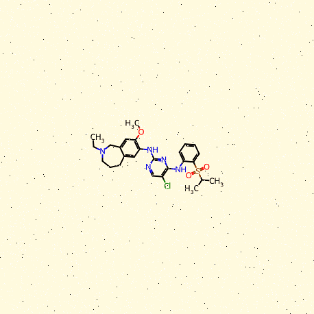 CCN1CCCc2cc(Nc3ncc(Cl)c(Nc4ccccc4S(=O)(=O)C(C)C)n3)c(OC)cc2C1